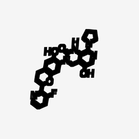 O=C1Nc2c(N3CCCC3)ncc(O)c2CN1c1cc2c(cc1O)CCC(c1ncccc1F)O2